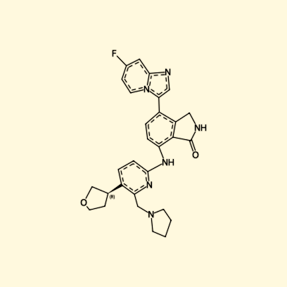 O=C1NCc2c(-c3cnc4cc(F)ccn34)ccc(Nc3ccc([C@H]4CCOC4)c(CN4CCCC4)n3)c21